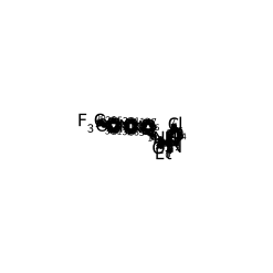 CCc1nc2ccc(Cl)cn2c1C(=O)NCc1cccc(N2CCN(c3ccc(OC(F)(F)F)cc3)CC2)c1